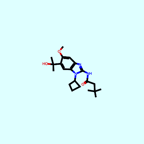 COc1cc2nc(NC(=O)CC(C)(C)C)n(C3CCC3)c2cc1C(C)(C)O